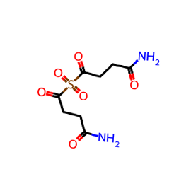 NC(=O)CCC(=O)S(=O)(=O)C(=O)CCC(N)=O